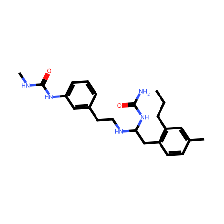 CCCc1cc(C)ccc1CC(NCCc1cccc(NC(=O)NC)c1)NC(N)=O